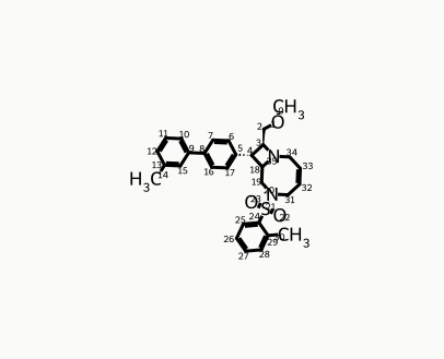 COC[C@@H]1[C@@H](c2ccc(-c3cccc(C)c3)cc2)C2CN(S(=O)(=O)c3ccccc3C)C/C=C\CN21